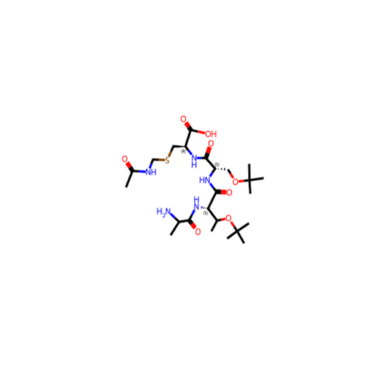 CC(=O)NCSC[C@H](NC(=O)[C@H](COC(C)(C)C)NC(=O)[C@@H](NC(=O)C(C)N)C(C)OC(C)(C)C)C(=O)O